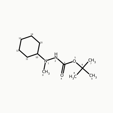 CN(NC(=O)OC(C)(C)C)C1CCCCC1